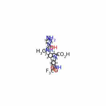 CC(Cc1ccc2c(c1)cc(C(=O)O)n2Cc1cccc(NS(=O)(=O)C(F)(F)F)c1)NCC(O)N1C=NC(N)=CC1